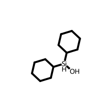 O[SiH](C1CCCCC1)C1CCCCC1